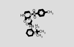 Cc1ccc(S(=O)(=O)N2C=CNC(=O)[C@H]2CC(=O)N[C@H]2CCCC[C@@H]2C(C)(C)C)cc1